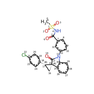 CS(=O)(=O)NC(=O)c1cccc(N2C(=O)[C@@]3(C[C@@H]3c3ccc(Cl)cc3)c3ccccc32)c1